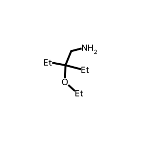 [CH2]COC(CC)(CC)CN